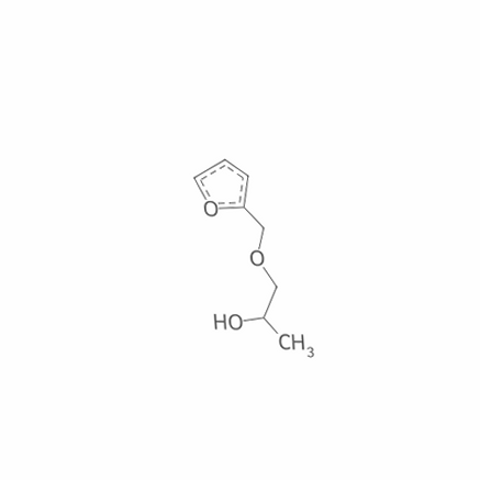 CC(O)COCc1ccco1